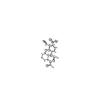 CC(=O)OC1CCCC(Oc2cccc([N+](=O)[O-])c2C#N)C1OC(C)=O